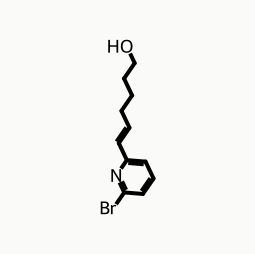 OCCCCC=Cc1cccc(Br)n1